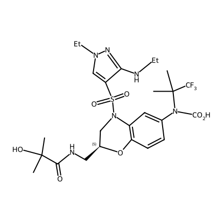 CCNc1nn(CC)cc1S(=O)(=O)N1C[C@H](CNC(=O)C(C)(C)O)Oc2ccc(N(C(=O)O)C(C)(C)C(F)(F)F)cc21